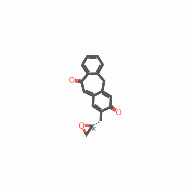 O=C1C=C2Cc3ccccc3C(=O)C=C2C=C1C[C@@H]1CO1